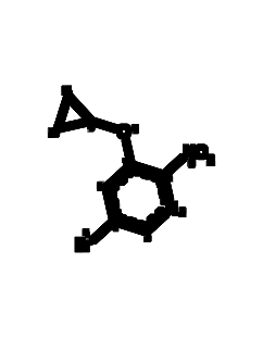 O=[N+]([O-])c1ncc(Br)cc1OC1CC1